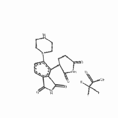 O=C(O)C(F)(F)F.O=C1CCC(c2c(N3CCNCC3)ccc3c2C(=O)NC3=O)C(=O)N1